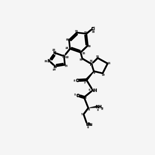 CC(C)(C)C[C@@H](N)C(=O)NC(=O)[C@@H]1CCCN1Cc1cc(Cl)ccc1-n1cnnn1